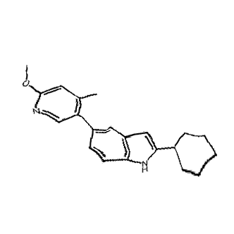 COc1cc(C)c(-c2ccc3[nH]c(C4CCCCC4)cc3c2)cn1